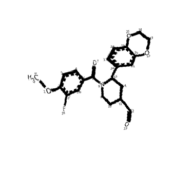 COc1ccc(C(=O)N2CCC(C=O)CC2c2ccc3c(c2)OCCO3)cc1F